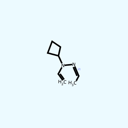 C=CN(/N=C\C)C1CCC1